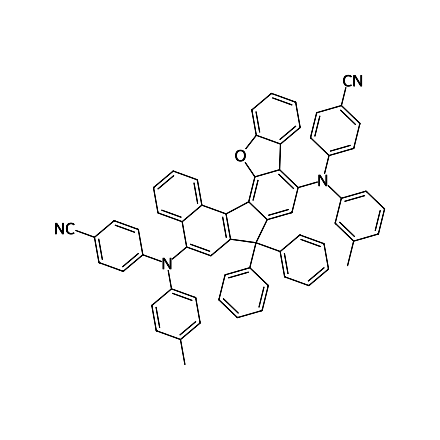 Cc1ccc(N(c2ccc(C#N)cc2)c2cc3c(c4ccccc24)-c2c(cc(N(c4ccc(C#N)cc4)c4cccc(C)c4)c4c2oc2ccccc24)C3(c2ccccc2)c2ccccc2)cc1